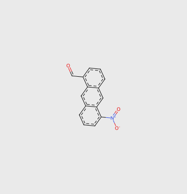 O=Cc1cccc2cc3c([N+](=O)[O-])cccc3cc12